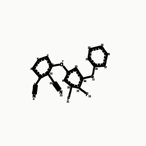 N#Cc1cccc(Oc2cc(F)c(F)c(Sc3ccccc3)c2)c1C#N